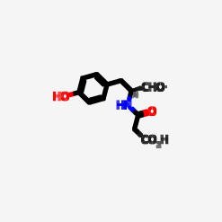 O=[C][C@H](Cc1ccc(O)cc1)NC(=O)CC(=O)O